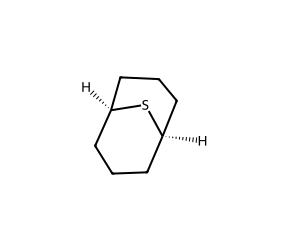 C1C[C@H]2CCC[C@@H](C1)S2